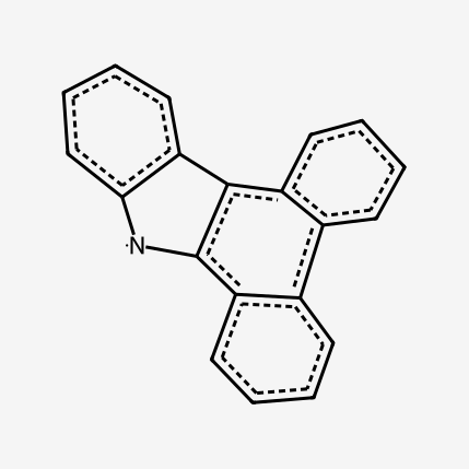 c1ccc2c(c1)[N]c1c-2c2ccccc2c2ccccc12